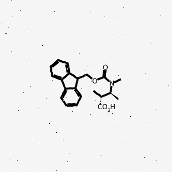 C[C@@H](C(=O)O)[C@H](C)N(C)C(=O)OCC1c2ccccc2-c2ccccc21